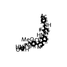 COc1cc(-c2nccc(-c3cccc(Nc4nccc(CNC5CCN(C(C)=O)CC5)c4F)c3C)c2Cl)cc(F)c1CNC[C@@H]1CCC(=O)N1